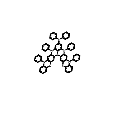 c1ccc(N(c2ccccc2)c2cc3c4c(c2)N(c2ccccc2)c2cc5c(cc2B4c2cc4c(cc2N3c2ccccc2)N(c2ccccc2)c2ccccc2O4)Sc2ccccc2N5c2ccccc2)cc1